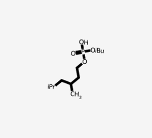 CC(C)COP(=O)(O)OCCC(C)CC(C)C